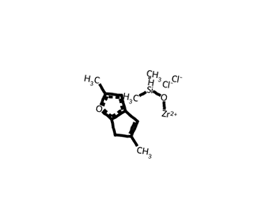 CC1=Cc2cc(C)oc2C1.C[SiH](C)[O][Zr+2].[Cl-].[Cl-]